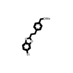 CCc1ccc2c(c1)OC(CCc1ccc(COC)cc1)O2